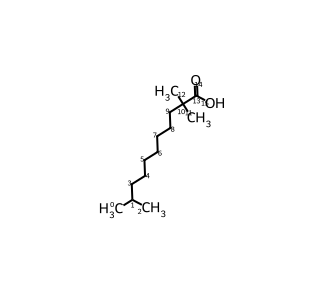 CC(C)CCCCCCCC(C)(C)C(=O)O